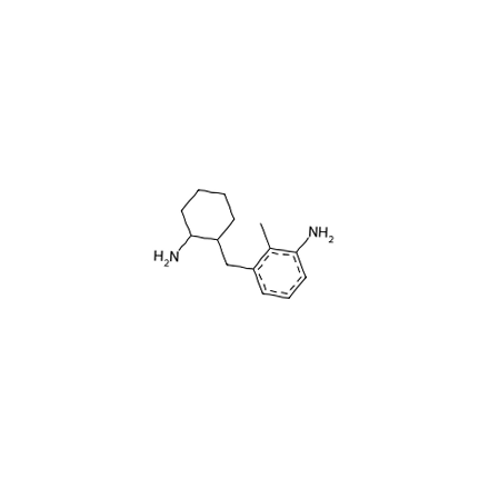 Cc1c(N)cccc1CC1CCCCC1N